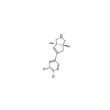 Fc1cc(C2=C[C@@H]3CNC[C@@H]3C2)cnc1Cl